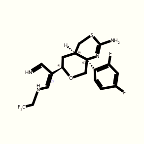 N=C/C(=C\NCC(F)(F)F)[C@H]1C[C@H]2CSC(N)=N[C@@]2(c2ccc(F)cc2F)CO1